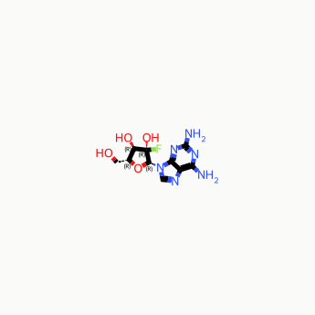 Nc1nc(N)c2ncn([C@@H]3O[C@H](CO)[C@@H](O)[C@@]3(O)F)c2n1